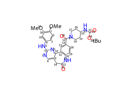 COc1ccc(Nc2ncc3c(n2)-c2cc(C(=O)N4CCC(NC(=O)OC(C)(C)C)CC4)ccc2NC(=O)C3)cc1OC